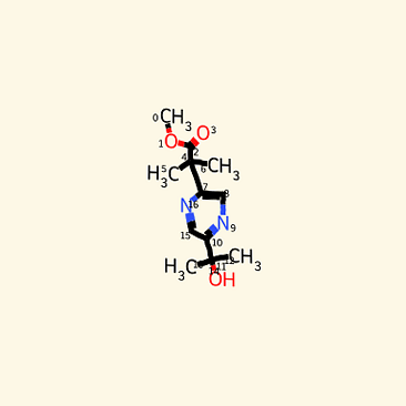 COC(=O)C(C)(C)c1cnc(C(C)(C)O)cn1